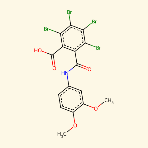 COc1ccc(NC(=O)c2c(Br)c(Br)c(Br)c(Br)c2C(=O)O)cc1OC